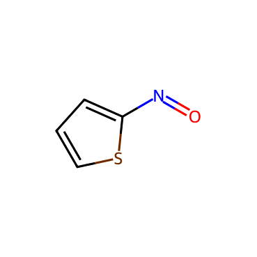 O=Nc1cccs1